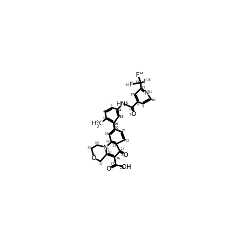 Cc1ccc(NC(=O)c2ccnc(C(F)(F)F)c2)cc1-c1ccc2c(=O)c(C(=O)O)c3n(c2c1)CCOC3